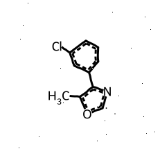 Cc1o[c]nc1-c1cccc(Cl)c1